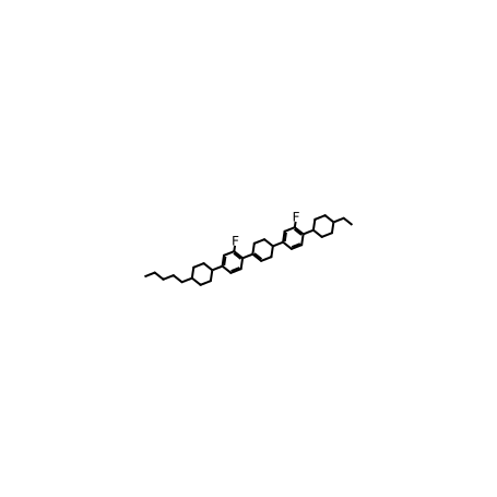 CCCCCC1CCC(c2ccc(C3=CCC(c4ccc(C5CCC(CC)CC5)c(F)c4)CC3)c(F)c2)CC1